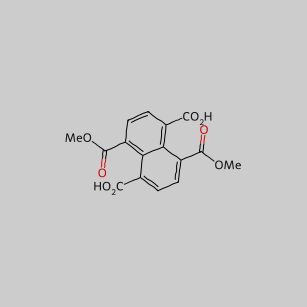 COC(=O)c1ccc(C(=O)O)c2c(C(=O)OC)ccc(C(=O)O)c12